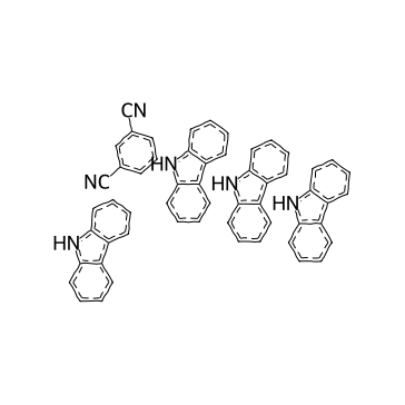 N#Cc1cccc(C#N)c1.c1ccc2c(c1)[nH]c1ccccc12.c1ccc2c(c1)[nH]c1ccccc12.c1ccc2c(c1)[nH]c1ccccc12.c1ccc2c(c1)[nH]c1ccccc12